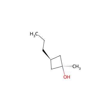 CCC[C@H]1C[C@@](C)(O)C1